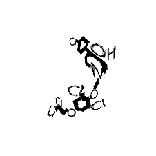 OC1(c2ccc(Cl)cc2)CCN(CCOc2c(Cl)cc(OCC=C(Cl)Cl)cc2Cl)CC1